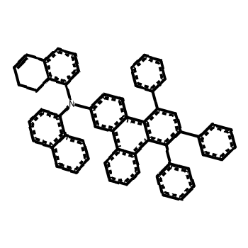 C1=Cc2cccc(N(c3ccc4c(c3)c3ccccc3c3c(-c5ccccc5)c(-c5ccccc5)cc(-c5ccccc5)c43)c3cccc4ccccc34)c2CC1